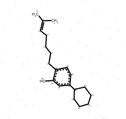 CC(C)=CCCCCc1ccc(C2CCCCC2)cc1O